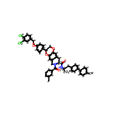 Cc1cccc(C(=O)N2Cc3cc4c(cc3C[C@H]2C(=O)N[C@@H](Cc2ccc(-c3ccc(C#N)cc3)cc2)C(=O)O)OCC(c2ccc(OCc3ccc(Cl)c(Cl)c3)cc2)O4)c1